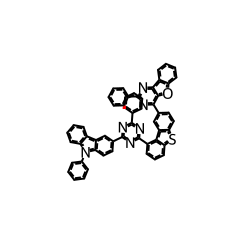 c1ccc(-c2nc(-c3ccc4c(c3)c3ccccc3n4-c3ccccc3)nc(-c3cccc4sc5ccc(-c6nc(-c7ccccc7)nc7c6oc6ccccc67)cc5c34)n2)cc1